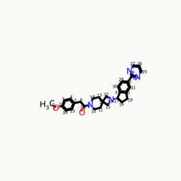 COc1ccc(CC(=O)N2CCC3(CC2)CN([C@@H]2CCc4cc(-c5ncccn5)ccc42)C3)cc1